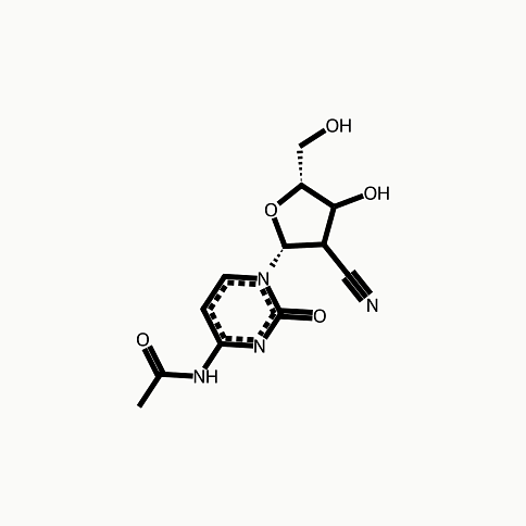 CC(=O)Nc1ccn([C@@H]2O[C@H](CO)C(O)C2C#N)c(=O)n1